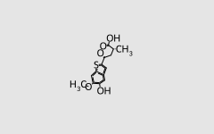 COc1cc2sc(C(=O)C[C@@H](C)C(=O)O)cc2cc1O